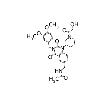 COc1ccc(Cn2c(=O)c3cc(CNC(C)=O)ccc3n(C3CCCN(C(=O)CO)C3)c2=O)cc1OC